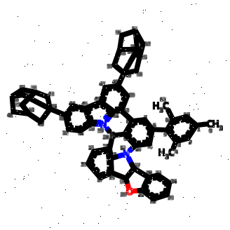 Cc1cc(C)c(-c2cc3c4c(c2)N2c5c(cccc5C5Oc6ccccc6C52)B4n2c4ccc(C56CC7CC(CC(C7)C5)C6)cc4c4cc(C56CC7CC(CC(C7)C5)C6)cc-3c42)c(C)c1